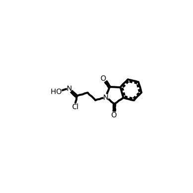 O=C1c2ccccc2C(=O)N1CC/C(Cl)=N/O